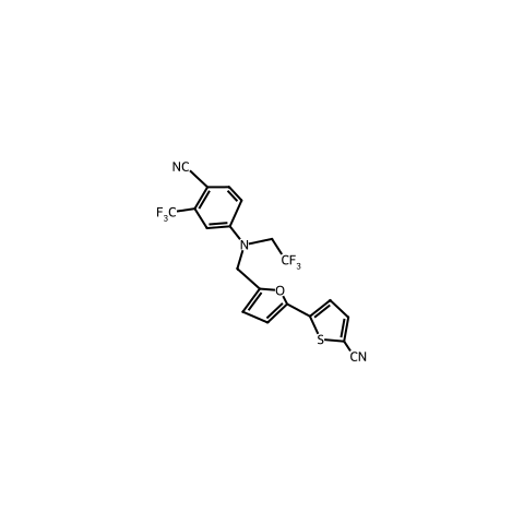 N#Cc1ccc(-c2ccc(CN(CC(F)(F)F)c3ccc(C#N)c(C(F)(F)F)c3)o2)s1